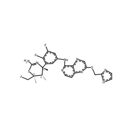 C[C@@H]1[C@@](C)(CF)SC(N)=N[C@]1(C)c1cc(Nc2nccc3nc(OCc4ncco4)cnc23)cc(F)c1F